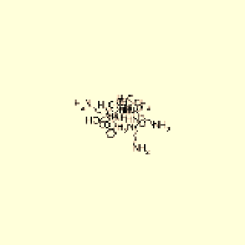 CC(C)[C@H](NC(=O)[C@H](CCCCN)NC(=O)[C@@H](N)CCCCN)C(=O)N[C@H](C(=O)N[C@@H](Cc1ccccc1)C(=O)N[C@@H](CCCCN)C(=O)O)C(C)C